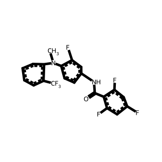 CN(c1ccc(NC(=O)c2c(F)cc(F)cc2F)cc1F)c1ccccc1C(F)(F)F